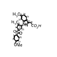 COc1ccc(S(=O)(=O)N2C[C@@H](C)[C@@H](n3nc(CC(=O)O)c4ccc(C)cc43)C2)cc1